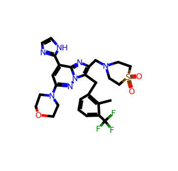 Cc1c(Cc2c(CN3CCS(=O)(=O)CC3)nc3c(-c4ncc[nH]4)cc(N4CCOCC4)nn23)cccc1C(F)(F)F